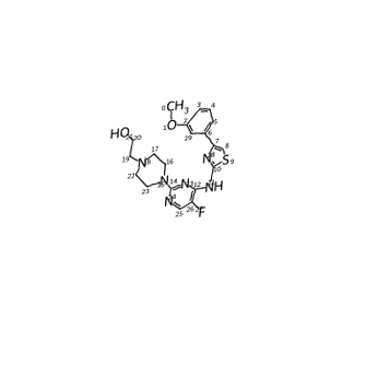 COc1cccc(-c2csc(Nc3nc(N4CCN(CCO)CC4)ncc3F)n2)c1